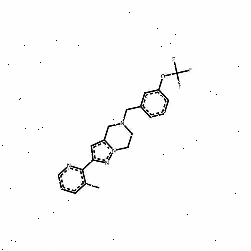 Cc1cccnc1-c1cc2n(n1)CCN(Cc1cccc(OC(F)(F)F)c1)C2